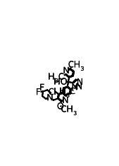 COc1nc2ccc(C(O)(c3ccc(C)nc3C)c3cnnn3C)cc2c(Cl)c1CN1CCC(F)(F)CC1